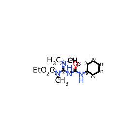 CCOC(=O)N(C)C(NC(=O)NC1CCCCC1)=[N+](C)C